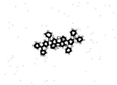 Cc1cc(N(c2ccccc2)c2ccc(N(c3ccccc3)c3ccccc3)cc2)c2ccccc2c1-c1c(C)cc(N(c2ccc(C(c3ccccc3)c3ccccc3)cc2)C2CCCCC2)c2ccccc12